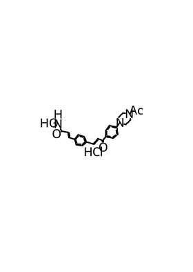 CC(=O)N1CCN(c2ccc(C(=O)C=Cc3ccc(C=CC(=O)NO)cc3)cc2)CC1.Cl